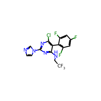 Fc1cc(F)c(-c2c(Cl)nc(-n3ccnc3)nc2NCC(F)(F)F)c(F)c1